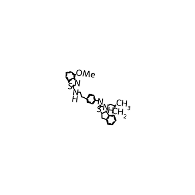 C=C(C)CN1/C(=N/c2ccc(CCNc3nc4c(OC)cccc4s3)cc2)SC2Cc3ccccc3[C@@H]21